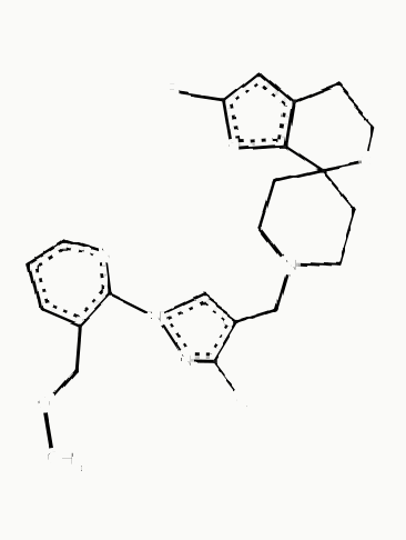 COCc1cccnc1-n1cc(CN2CCC3(CC2)OCCc2cc(F)sc23)c(C)n1